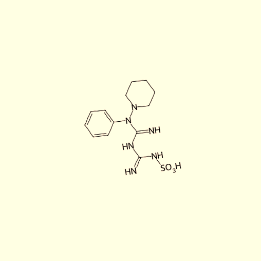 N=C(NC(=N)N(c1ccccc1)N1CCCCC1)NS(=O)(=O)O